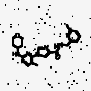 Cc1cccc(CNC(=O)c2cn(-c3nc(NC4CCOCC4)ncc3C)cn2)n1